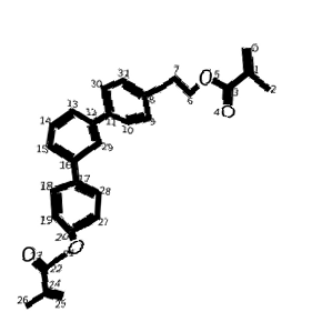 C=C(C)C(=O)OCCc1ccc(-c2cccc(-c3ccc(OC(=O)C(=C)C)cc3)c2)cc1